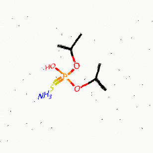 CC(C)OP(O)(=S)OC(C)C.N